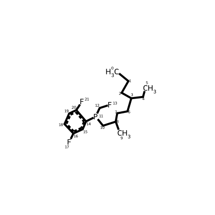 CCCC(CC)CCC(C)CP(CF)c1cc(F)ccc1F